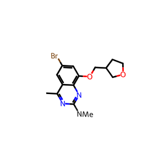 CNc1nc(C)c2cc(Br)cc(OCC3CCOC3)c2n1